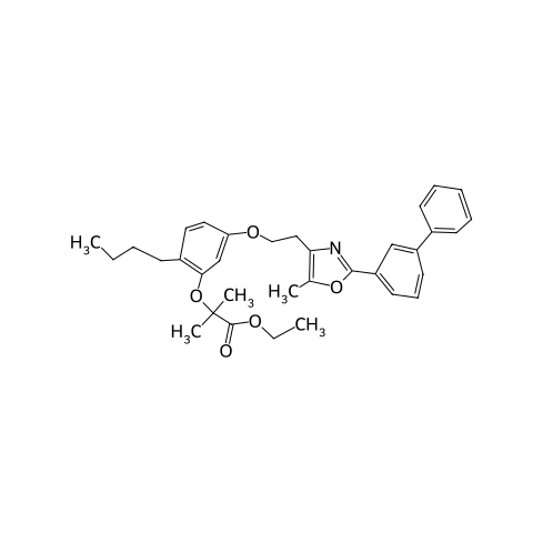 CCCCc1ccc(OCCc2nc(-c3cccc(-c4ccccc4)c3)oc2C)cc1OC(C)(C)C(=O)OCC